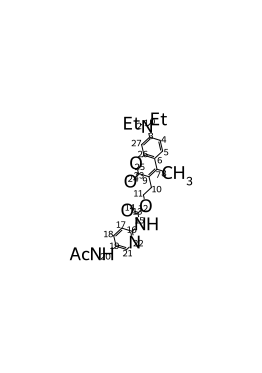 CCN(CC)c1ccc2c(C)c(CCOC(=O)Nc3ccc(NC(C)=O)cn3)c(=O)oc2c1